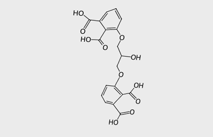 O=C(O)c1cccc(OCC(O)COc2cccc(C(=O)O)c2C(=O)O)c1C(=O)O